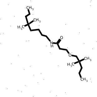 CCCC(C)(C)CCCCNC(=O)CCOCC(C)(C)CCC